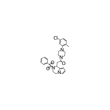 Cc1ccc(Cl)cc1N1CCN(C(=O)CC2c3cccn3CCN2S(=O)(=O)c2ccccc2)CC1